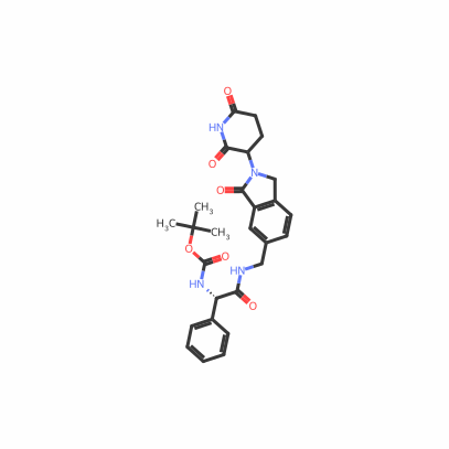 CC(C)(C)OC(=O)N[C@H](C(=O)NCc1ccc2c(c1)C(=O)N(C1CCC(=O)NC1=O)C2)c1ccccc1